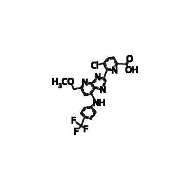 COCc1cc(Nc2ccc(C(F)(F)F)cc2)c2ncc(-c3nc(C(=O)O)ccc3Cl)nc2n1